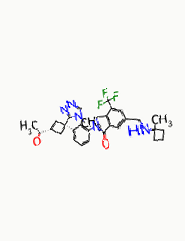 CC(=O)[C@H]1C[C@](c2cccc(N3Cc4c(cc(CNC5(C)CCC5)cc4C(F)(F)F)C3=O)c2)(c2nncn2C)C1